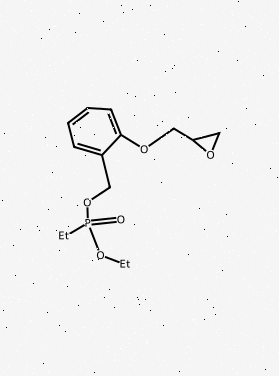 CCOP(=O)(CC)OCc1ccccc1OCC1CO1